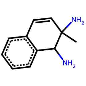 CC1(N)C=Cc2ccccc2C1N